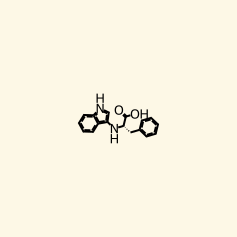 O=C(O)[C@H](Cc1ccccc1)Nc1c[nH]c2ccccc12